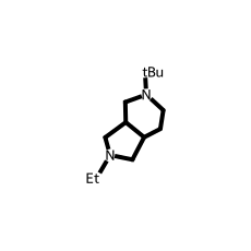 CCN1CC2CCN(C(C)(C)C)CC2C1